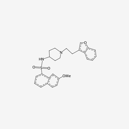 COc1ccc2cccc(S(=O)(=O)NC3CCN(CCc4coc5ccccc45)CC3)c2c1